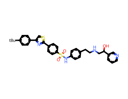 CC(C)(C)c1ccc(-c2csc(-c3ccc(S(=O)(=O)Nc4ccc(CCNCC(O)c5cccnc5)cc4)cc3)n2)cc1